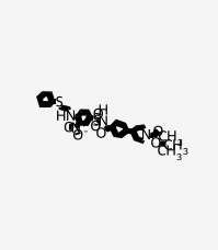 CC(C)(C)OC(=O)N1CC=C(c2ccc(C(=O)NS(=O)(=O)c3ccc(NCCSc4ccccc4)c([N+](=O)[O-])c3)cc2)CC1